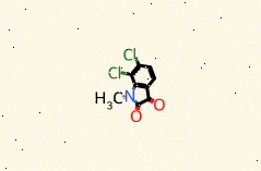 CN1C(=O)C(=O)c2ccc(Cl)c(Cl)c21